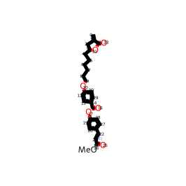 C=C1CC(CCCCCCOc2ccc(C(=O)Oc3ccc(/C=C/C(=O)OC)cc3)cc2)OC1=O